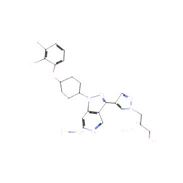 CCNc1cc2c(cn1)c(-c1cnn(C[C@@H](O)CO)c1)nn2C1CCC(Oc2cccc(Cl)c2Cl)CC1